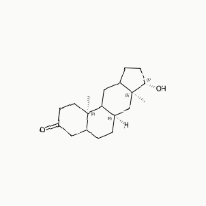 C[C@@]12CCC(=O)CC1CC[C@@H]1C[C@@]3(C)C(CC[C@@H]3O)CC12